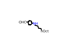 CCCCCCCCCCCCNc1ccc([C]=O)cc1